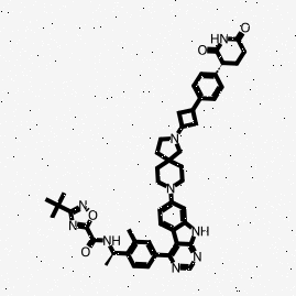 Cc1cc(-c2ncnc3[nH]c4cc(N5CCC6(CC5)CCN(C5CC(c7ccc([C@H]8CCC(=O)NC8=O)cc7)C5)C6)ccc4c23)ccc1[C@@H](C)NC(=O)c1nc(C(C)(C)C)no1